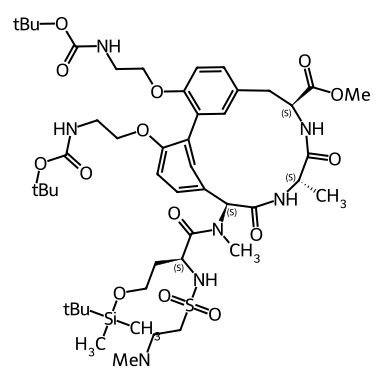 CNCCS(=O)(=O)N[C@@H](CCO[Si](C)(C)C(C)(C)C)C(=O)N(C)[C@@H]1C(=O)N[C@@H](C)C(=O)N[C@H](C(=O)OC)Cc2ccc(OCCNC(=O)OC(C)(C)C)c(c2)-c2cc1ccc2OCCNC(=O)OC(C)(C)C